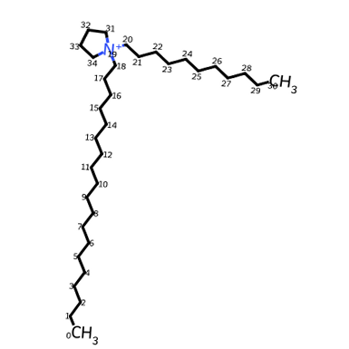 CCCCCCCCCCCCCCCCCCC[N+]1(CCCCCCCCCCC)CCCC1